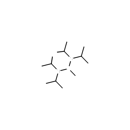 [CH2]P(N(C(C)C)C(C)C)N(C(C)C)C(C)C